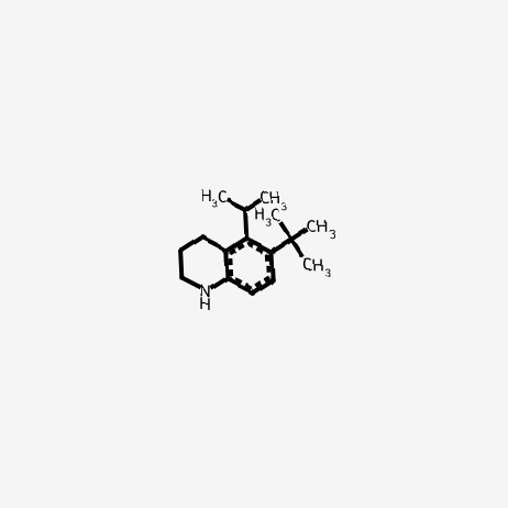 CC(C)c1c(C(C)(C)C)ccc2c1CCCN2